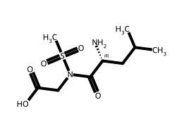 CC(C)C[C@@H](N)C(=O)N(CC(=O)O)S(C)(=O)=O